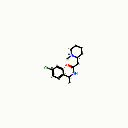 CC(NC(=O)CC1CCCCN1C)c1ccc(Cl)cc1